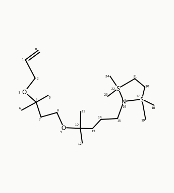 C=CCOC(C)(C)CCOC(C)(C)CCCN1S(C)(C)CCS1(C)C